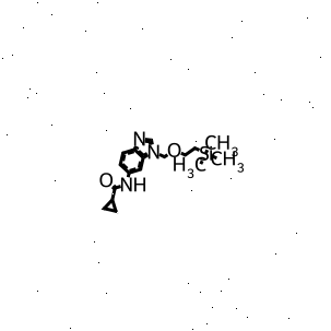 C[Si](C)(C)CCOCn1cnc2ccc(NC(=O)C3CC3)cc21